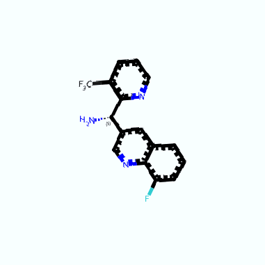 N[C@@H](c1cnc2c(F)cccc2c1)c1ncccc1C(F)(F)F